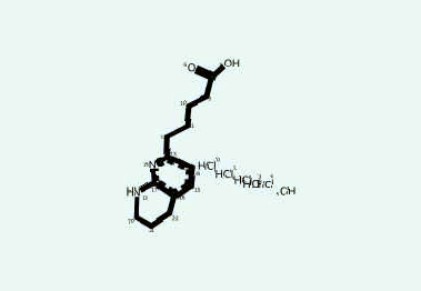 Cl.Cl.Cl.Cl.Cl.Cl.O=C(O)CCCCc1ccc2c(n1)NCCC2